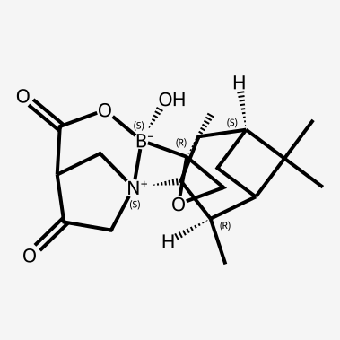 C[C@@H]1C2C[C@@H](CC1[N@+]13CC(=O)C(C1)C(=O)O[B@@-]3(O)[C@@]1(C)CO1)C2(C)C